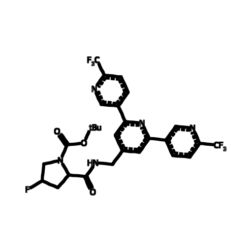 CC(C)(C)OC(=O)N1CC(F)CC1C(=O)NCc1cc(-c2ccc(C(F)(F)F)nc2)nc(-c2ccc(C(F)(F)F)nc2)c1